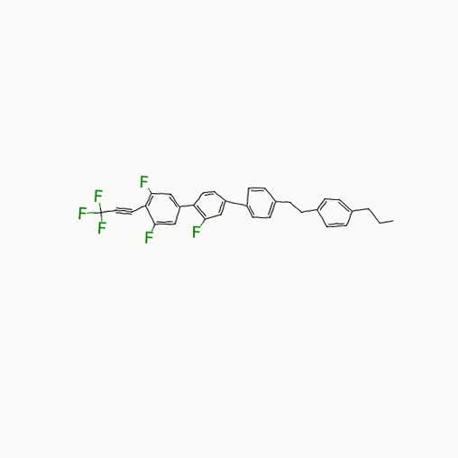 CCCc1ccc(CCc2ccc(-c3ccc(-c4cc(F)c(C#CC(F)(F)F)c(F)c4)c(F)c3)cc2)cc1